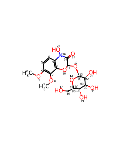 COc1ccc2c(c1OC)OC(O[C@@H]1O[C@H](CO)[C@@H](O)[C@H](O)[C@H]1O)C(=O)N2O